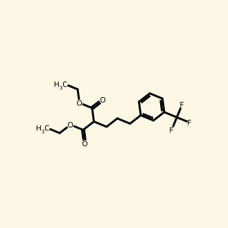 CCOC(=O)C(CCCc1cccc(C(F)(F)F)c1)C(=O)OCC